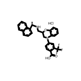 C[C@@H](NCC1CN(c2ccc(C(=O)O)c(C(F)(F)F)c2)c2ccccc2O1)c1cccc2ccccc12.Cl